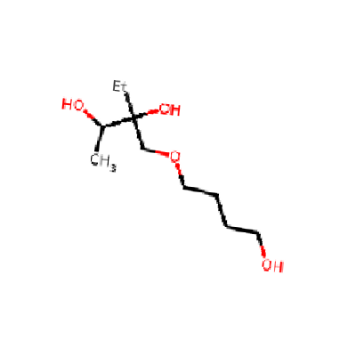 CCC(O)(COCCCCO)C(C)O